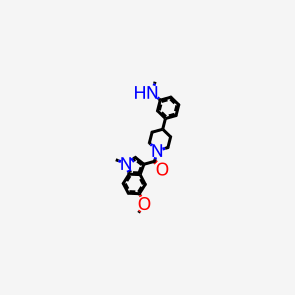 CNc1cccc(C2CCN(C(=O)c3cn(C)c4ccc(OC)cc34)CC2)c1